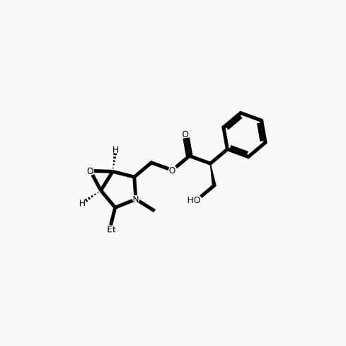 CCC1[C@H]2O[C@H]2C(COC(=O)[C@H](CO)c2ccccc2)N1C